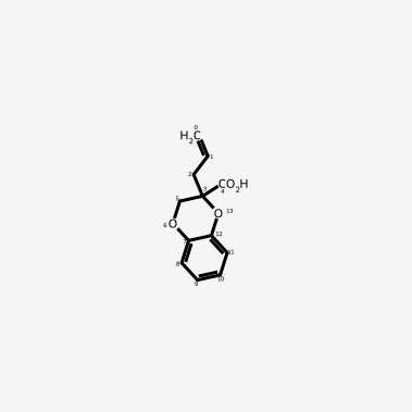 C=CCC1(C(=O)O)COc2ccccc2O1